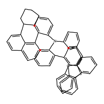 c1cc(-c2cccc3c2oc2ccccc23)cc(N(c2ccccc2-c2cccc3cccc(C4CCCCC4)c23)c2ccccc2-c2cccc3sc4ccccc4c23)c1